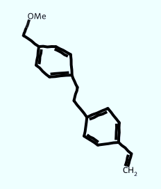 C=Cc1ccc(CCc2ccc(COC)cc2)cc1